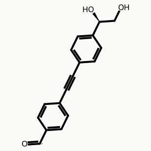 O=[C]c1ccc(C#Cc2ccc([C@@H](O)CO)cc2)cc1